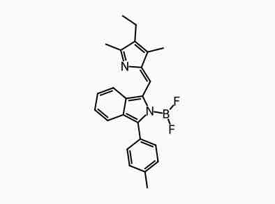 CCC1=C(C)/C(=C/c2c3ccccc3c(-c3ccc(C)cc3)n2B(F)F)N=C1C